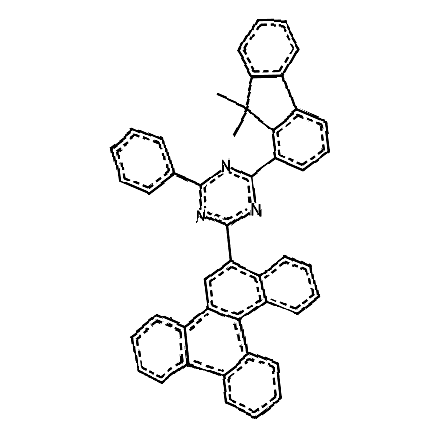 CC1(C)c2ccccc2-c2cccc(-c3nc(-c4ccccc4)nc(-c4cc5c6ccccc6c6ccccc6c5c5ccccc45)n3)c21